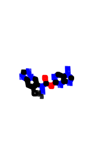 Cc1cc2ncnn2cc1NC(=O)Oc1ncc2[nH]cnc2n1